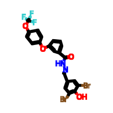 O=C(NN=Cc1cc(Br)c(O)c(Br)c1)c1cccc(Oc2ccc(OC(F)(F)F)cc2)c1